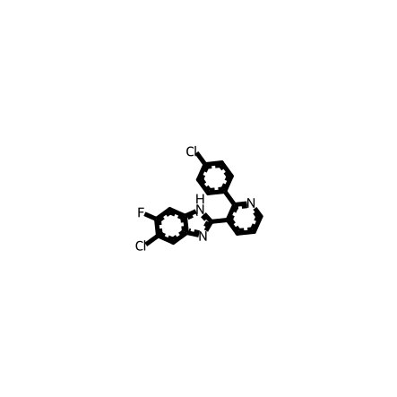 Fc1cc2[nH]c(-c3cccnc3-c3ccc(Cl)cc3)nc2cc1Cl